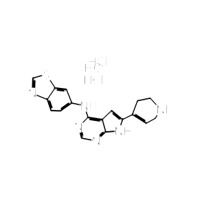 C1=C(c2cc3c(Nc4ccc5ncsc5c4)ncnc3[nH]2)CCNC1.Cl.Cl.Cl